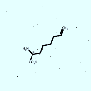 C=CCCCC[C@H](N)C(=O)O